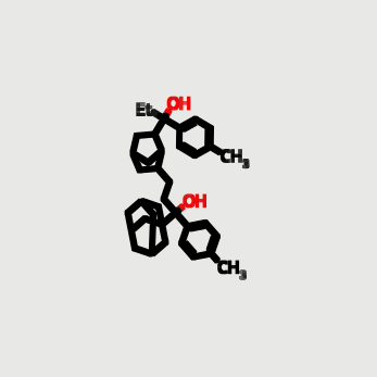 CCC(O)(c1ccc(C)cc1)C1CC2CC(CCC(O)(c3ccc(C)cc3)C34CC5CC(CC(C5)C3)C4)C1C2